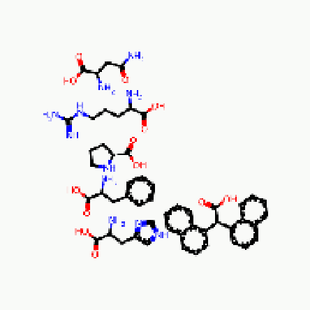 N=C(N)NCCCC(N)C(=O)O.NC(=O)CC(N)C(=O)O.NC(Cc1c[nH]cn1)C(=O)O.NC(Cc1ccccc1)C(=O)O.O=C(O)C(c1cccc2ccccc12)c1cccc2ccccc12.O=C(O)[C@@H]1CCCN1